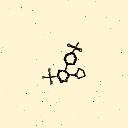 CS(=O)(=O)c1ccc(-c2cc(C(F)(F)F)cnc2N2CCCC2)cc1